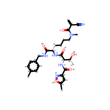 C=C(C#N)C(=O)N(C)CCCC[C@H](NC(=O)[C@@H](NC(=O)c1cc(C)on1)[C@@H](C)O)C(=O)NCc1ccc(C)cc1